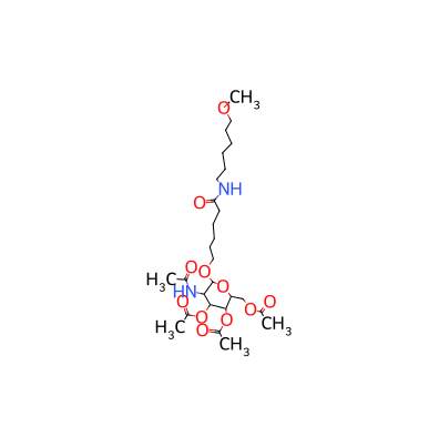 COCCCCCCNC(=O)CCCCCOC1OC(COC(C)=O)C(OC(C)=O)C(OC(C)=O)C1NC(C)=O